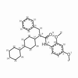 COc1ccc(NC(=O)N(Cc2ccccc2)C2CCC(C3CCCCC3)CC2)c(OC)c1